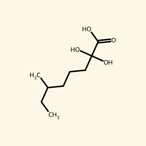 CCC(C)CCCC(O)(O)C(=O)O